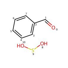 O=Cc1ccccc1.OSO